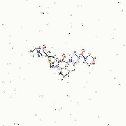 Cc1cc(C)cc(-c2[nH]c3sc(C(C)(C)C(=O)N4C5CCC4CC5)cc3c2C(=O)CN2CCN(C(=O)N3CCOCC3)CC2)c1